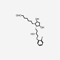 O=CCCCCCC[C@@H]1[C@@H](CC[C@@H](O)CSc2ccccc2F)[C@H](O)C[C@@H]1O